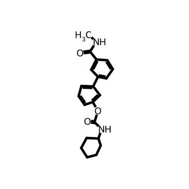 CNC(=O)c1cccc(-c2cccc(OC(=O)NC3CCCCC3)c2)c1